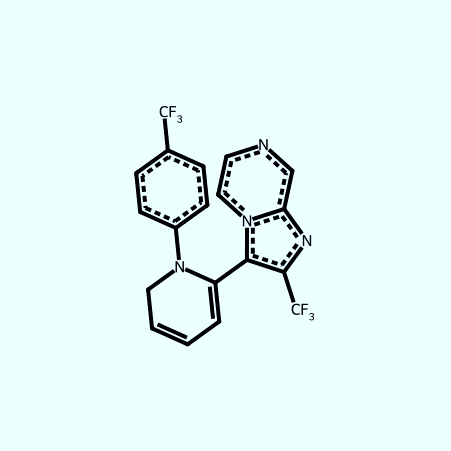 FC(F)(F)c1ccc(N2CC=CC=C2c2c(C(F)(F)F)nc3cnccn23)cc1